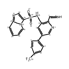 N=Cc1ncc(-c2ccc(C(F)(F)F)cc2)cc1NS(=O)(=O)c1cnc2ccccn12